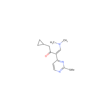 CSc1nccc(C(=CN(C)C)C(=O)CC2CC2)n1